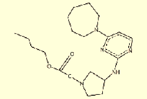 CCCCOC(=O)CN1CCC(Nc2nccc(N3CCCCCC3)n2)C1